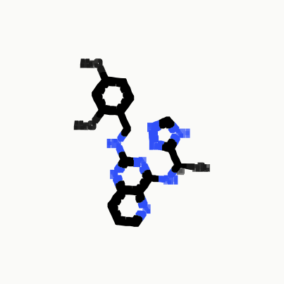 CCCC[C@@H](Nc1nc(NCc2ccc(OC)cc2OC)nc2cccnc12)c1nnc[nH]1